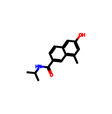 Cc1cc(O)cc2ccc(C(=O)NC(C)C)cc12